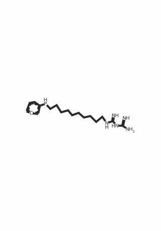 N=C(N)NC(=N)NCCCCCCCCCCPc1ccccc1